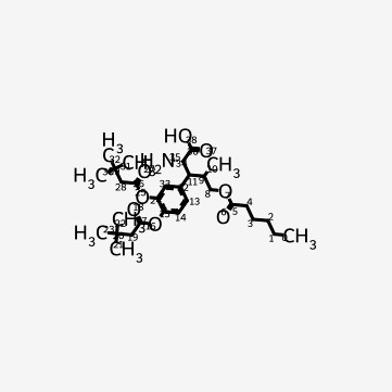 CCCCCC(=O)OCC(C)C(c1ccc(OC(=O)CC(C)(C)C)c(OC(=O)CC(C)(C)C)c1)[C@H](N)C(=O)O